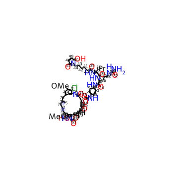 COc1cc2cc(c1Cl)N(C)C(=O)C[C@H](OC(=O)Nc1ccc(NC(=O)[C@H](CCCNC(N)=O)NC(=O)[C@@H](NC(=O)CCCCCN3C(=O)C=CC3O)C(C)C)cc1)[C@]1(C)O[C@H]1[C@H](C)[C@@H]1C[C@@](O)(NC(=O)O1)[C@H](OC)/C=C/C=C(\C)C2